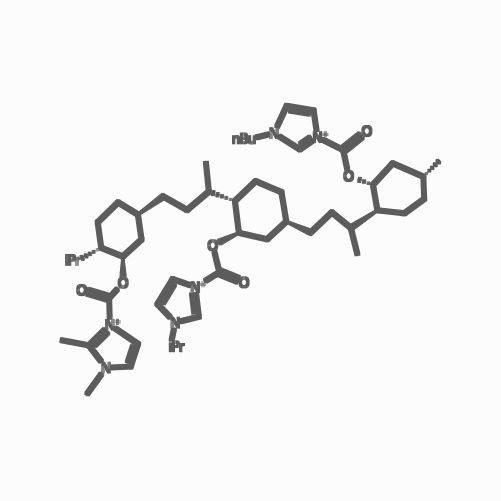 CCCCn1cc[n+](C(=O)O[C@@H]2C[C@H](C)CC[C@H]2C(C)CC[C@@H]2CC[C@@H](C(C)CC[C@@H]3CC[C@@H](C(C)C)[C@H](OC(=O)[n+]4ccn(C)c4C)C3)[C@H](OC(=O)[n+]3ccn(C(C)C)c3)C2)c1